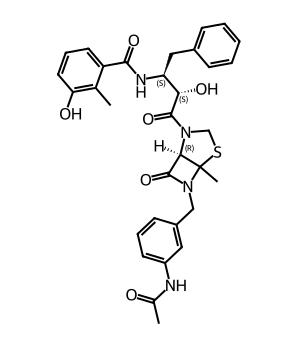 CC(=O)Nc1cccc(CN2C(=O)[C@H]3N(C(=O)[C@@H](O)[C@H](Cc4ccccc4)NC(=O)c4cccc(O)c4C)CSC32C)c1